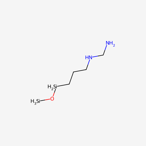 NCNCCC[SiH2]O[SiH3]